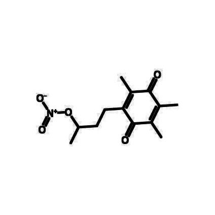 CC1=C(C)C(=O)C(CCC(C)O[N+](=O)[O-])=C(C)C1=O